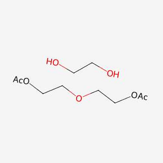 CC(=O)OCCOCCOC(C)=O.OCCO